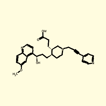 COc1ccc2nccc([C@H](O)CC[C@@H]3CCN(CC#Cc4ccncc4)C[C@H]3CCC(=O)O)c2c1